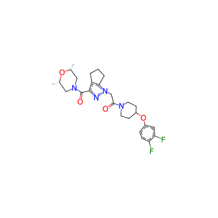 C[C@@H]1CN(C(=O)c2nn(CC(=O)N3CCC(Oc4ccc(F)c(F)c4)CC3)c3c2CCC3)C[C@H](C)O1